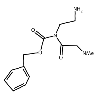 CNCC(=O)N(CCN)C(=O)OCc1ccccc1